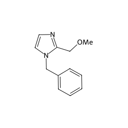 COCc1nccn1Cc1ccccc1